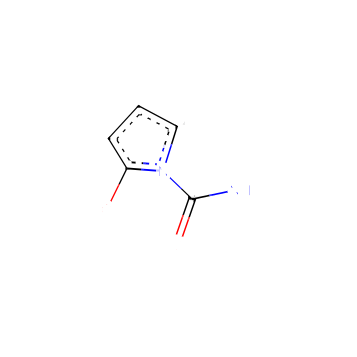 NC(=O)n1cccc1[O]